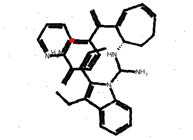 C=C(C1=CC=CCC[C@@H]1NC(N)n1c(/C=C\C)c(CC)c2ccccc21)C(/C=C\C(=C)c1ccccn1)=C/N